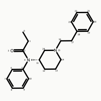 CCC(=O)N(c1ccccc1)[C@H]1CCCN(CCc2ccccc2)C1